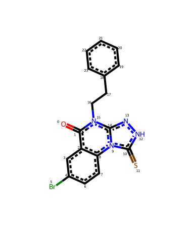 O=c1c2cc(Br)ccc2n2c(=S)[nH]nc2n1CCc1ccccc1